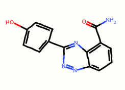 NC(=O)c1cccc2nnc(-c3ccc(O)cc3)nc12